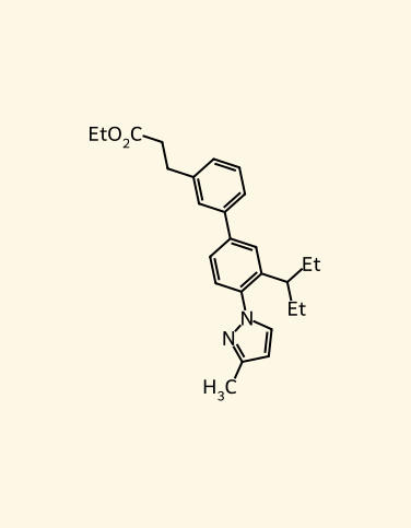 CCOC(=O)CCc1cccc(-c2ccc(-n3ccc(C)n3)c(C(CC)CC)c2)c1